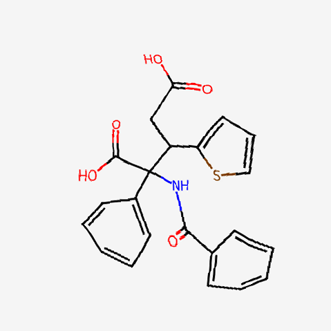 O=C(O)CC(c1cccs1)C(NC(=O)c1ccccc1)(C(=O)O)c1ccccc1